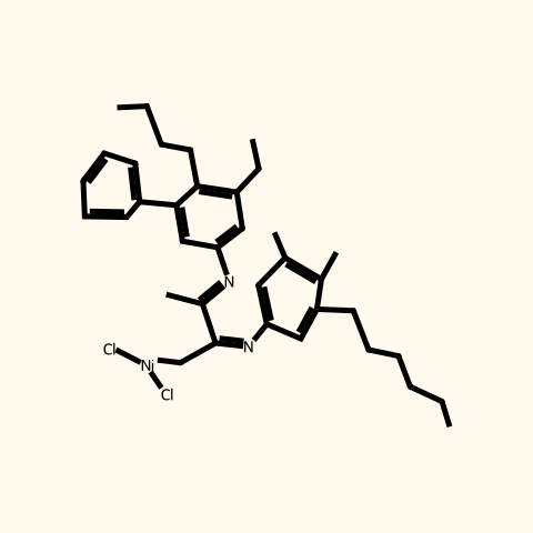 CCCCCCc1cc(N=C(CC)C(C)=Nc2cc(CC)c(CCCC)c(-c3ccccc3)c2)cc(C)c1C.[Cl][Ni][Cl]